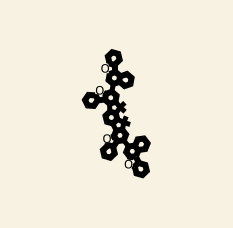 CC1(C)c2cc(-c3cc4oc5ccccc5c4c4ccccc34)c3c(oc4ccccc43)c2-c2ccc3c(c21)C(C)(C)c1cc(-c2cc4oc5ccccc5c4c4ccccc24)c2oc4ccccc4c2c1-3